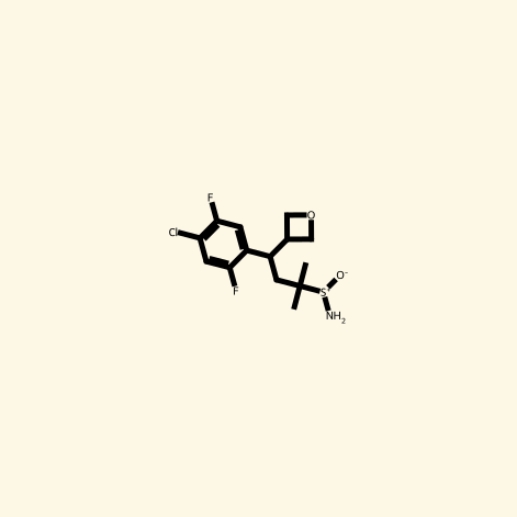 CC(C)(CC(c1cc(F)c(Cl)cc1F)C1COC1)[S+](N)[O-]